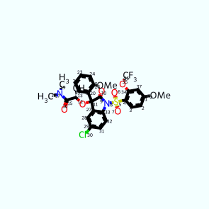 COc1ccc(S(=O)(=O)N2C(=O)C(O[C@@H](C)C(=O)N(C)C)(c3ccccc3OC)c3cc(Cl)ccc32)c(OC(F)(F)F)c1